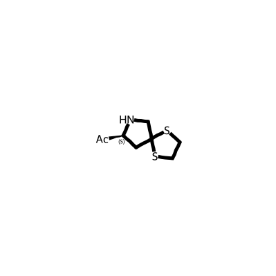 CC(=O)[C@@H]1CC2(CN1)SCCS2